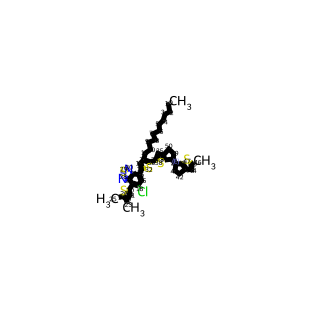 CCCCCCCCCCCCc1cc(-c2cc(Cl)c(-c3cc(C)c(C)s3)c3nsnc23)sc1-c1cc2c(s1)/C(=C1\CCc3cc(C)sc31)CC2